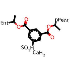 CCCCCC(C)OC(=O)c1cc(C(=O)OC(C)CCCCC)cc(S(=O)(=O)O)c1.[CaH2]